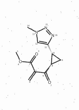 C=C(C(=O)OC)C(=O)[C@@H]1C[C@H]1c1cn(C)nn1